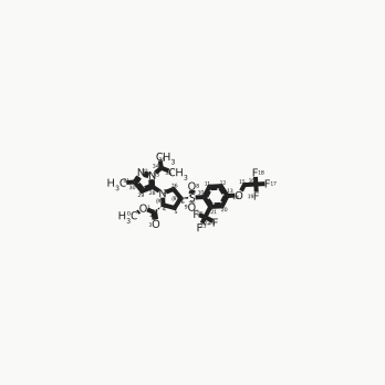 COC(=O)[C@H]1C[C@@H](S(=O)(=O)c2ccc(OCC(F)(F)F)cc2C(F)(F)F)CN1c1cc(C)nn1C(C)C